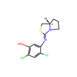 Oc1cc(/N=C2\SC[C@@H]3CCCN23)c(F)cc1Cl